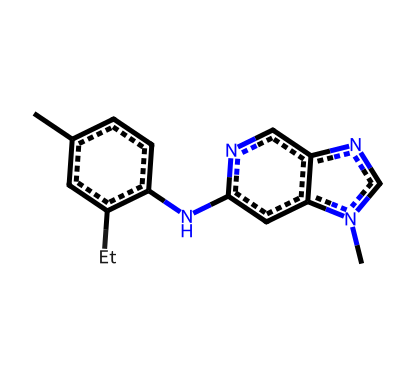 CCc1cc(C)ccc1Nc1cc2c(cn1)ncn2C